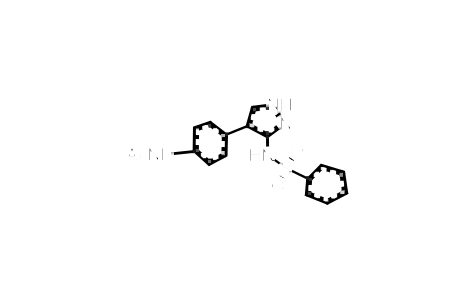 CC(=O)Nc1ccc(-c2c[nH]nc2NS(=O)(=O)c2ccccc2)cc1